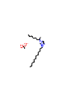 CC(=O)[O-].CCCCCCCCCCCC[n+]1ccn(C(C)CCCCCC)c1